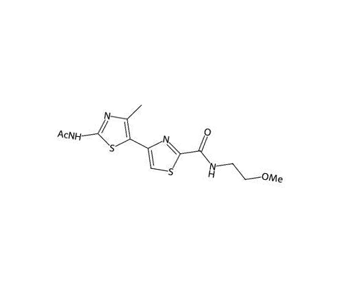 COCCNC(=O)c1nc(-c2sc(NC(C)=O)nc2C)cs1